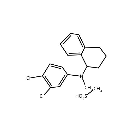 CN(c1ccc(Cl)c(Cl)c1)C1CCCc2ccccc21.CS(=O)(=O)O